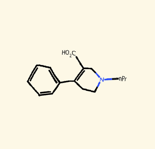 CCCN1CCC(c2ccccc2)=C(C(=O)O)C1